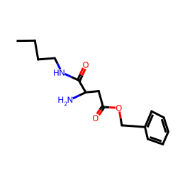 CCCCNC(=O)C(N)CC(=O)OCc1ccccc1